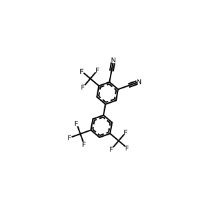 N#Cc1cc(-c2cc(C(F)(F)F)cc(C(F)(F)F)c2)cc(C(F)(F)F)c1C#N